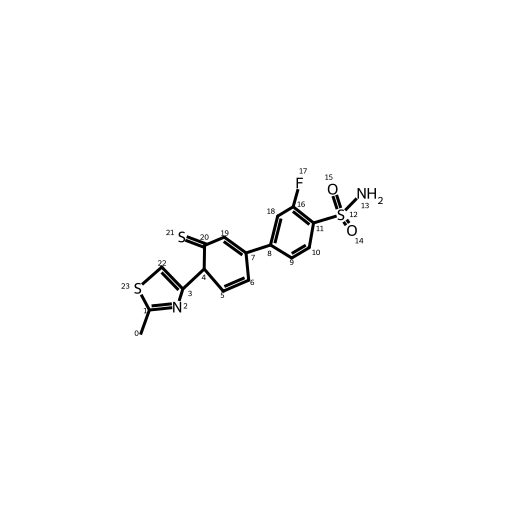 Cc1nc(C2C=CC(c3ccc(S(N)(=O)=O)c(F)c3)=CC2=S)cs1